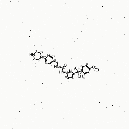 CCOc1ccc(C(C)(C)c2csc(NC(=O)NCc3cnc(N4CCNCC4)nc3)n2)cc1